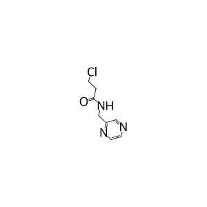 O=C(CCCl)NCc1cnccn1